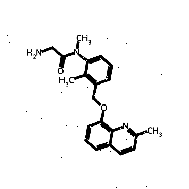 Cc1ccc2cccc(OCc3cccc(N(C)C(=O)CN)c3C)c2n1